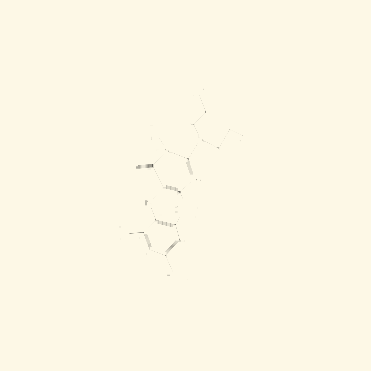 CCCN(CCC)c1nc(C)c(Nc2c(C)cc(C)cc2C)c(=O)n1C